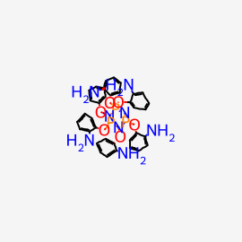 Nc1ccccc1ON1P(Oc2ccccc2N)N=P(Oc2ccccc2N)(Oc2ccccc2N)N(Oc2ccccc2)P1Oc1ccccc1N